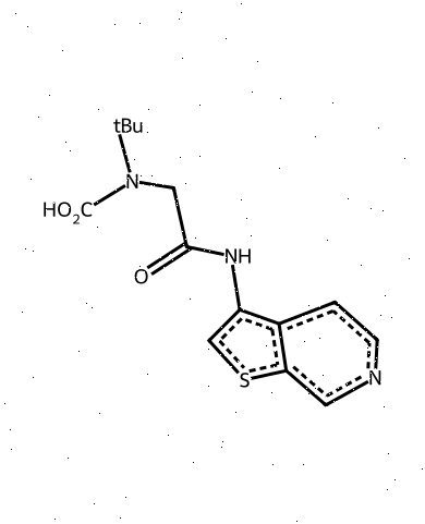 CC(C)(C)N(CC(=O)Nc1csc2cnccc12)C(=O)O